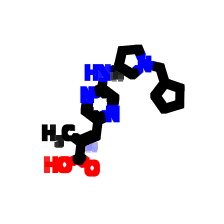 C/C(=C\c1cnc(N[C@@H]2CCN(CC3CCCC3)C2)cn1)C(=O)O